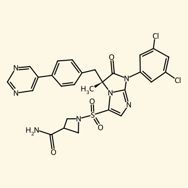 C[C@@]1(Cc2ccc(-c3cncnc3)cc2)C(=O)N(c2cc(Cl)cc(Cl)c2)c2ncc(S(=O)(=O)N3CC(C(N)=O)C3)n21